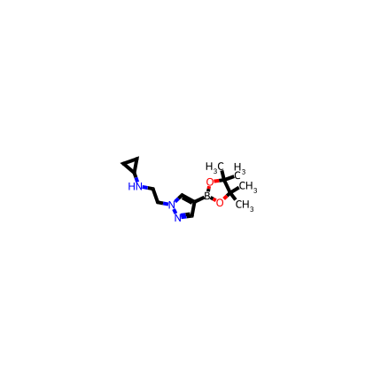 CC1(C)OB(c2cnn(CCNC3CC3)c2)OC1(C)C